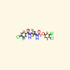 O=C(COc1ccc(Cl)c(Cl)c1)NC1CC2(NC(=O)c3ccc(Cl)c(F)c3)CC1C2